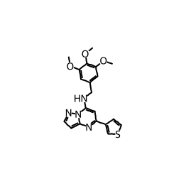 COc1cc(CNc2cc(-c3ccsc3)nc3ccnn23)cc(OC)c1OC